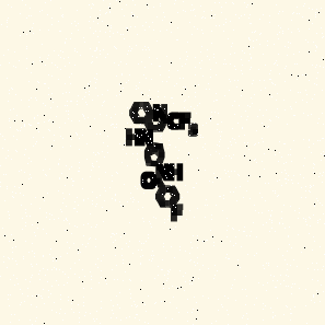 O=C(NC1CC2CC1CC2Nc1cc(C(F)(F)F)nc2ccccc12)c1ccc(F)cc1